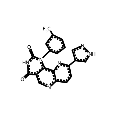 O=c1[nH]c(=O)n(-c2cccc(C(F)(F)F)c2)c2c1cnc1ccc(-c3cn[nH]c3)nc12